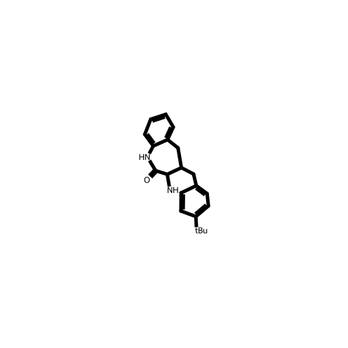 CC(C)(C)c1ccc(CC2Cc3ccccc3NC(=O)C2N)cc1